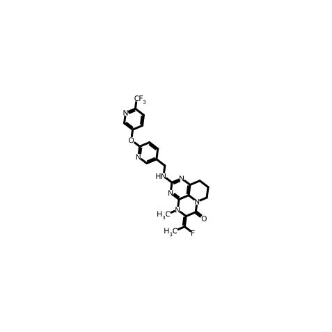 C/C(F)=C1/C(=O)N2CCCc3nc(NCc4ccc(Oc5ccc(C(F)(F)F)nc5)nc4)nc(c32)N1C